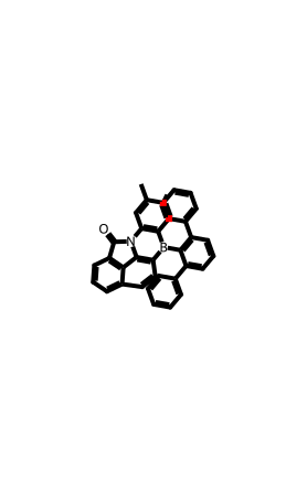 Cc1cc2c(cc1C)N1C(=O)c3cccc4ccc(c1c34)B2c1c(-c2ccccc2)cccc1-c1ccccc1